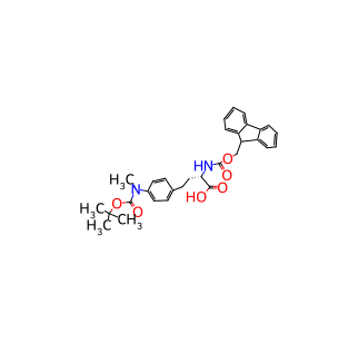 CN(C(=O)OC(C)(C)C)c1ccc(CC[C@H](NC(=O)OCC2c3ccccc3-c3ccccc32)C(=O)O)cc1